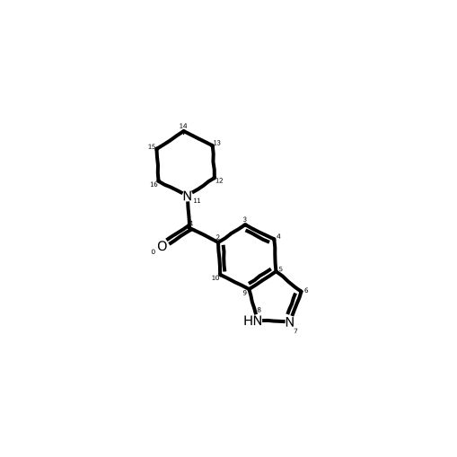 O=C(c1ccc2cn[nH]c2c1)N1CC[CH]CC1